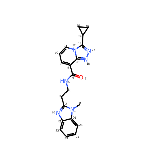 Cn1c(CCNC(=O)c2cccn3c(C4CC4)nnc23)nc2ccccc21